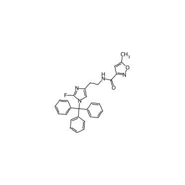 Cc1cc(C(=O)NCCc2cn(C(c3ccccc3)(c3ccccc3)c3ccccc3)c(F)n2)no1